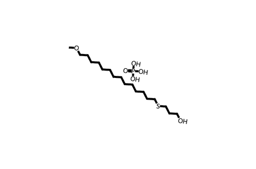 COCCCCCCCCCCCCCCSCCCO.O=P(O)(O)O